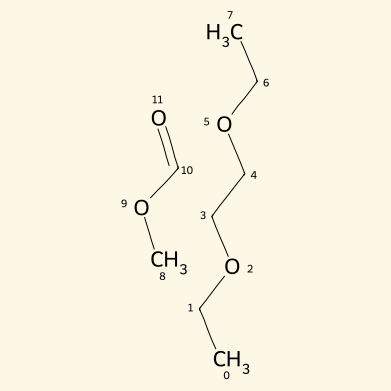 CCOCCOCC.COC=O